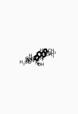 C[C@]12CC(=NO)C(=NNS(C)(=O)=O)C=C1CC[C@@H]1[C@@H]2[C@@H](F)C[C@@]2(C)[C@H]1CC[C@]2(C)O